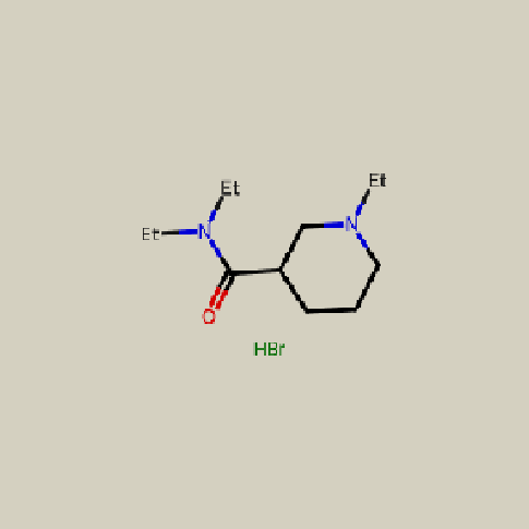 Br.CCN1CCCC(C(=O)N(CC)CC)C1